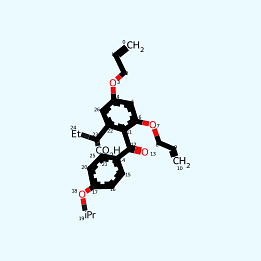 C=CCOc1cc(OCC=C)c(C(=O)c2ccc(OC(C)C)cc2)c(C(CC)C(=O)O)c1